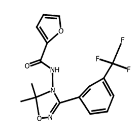 CC1(C)ON=C(c2cccc(C(F)(F)F)c2)N1NC(=O)c1ccco1